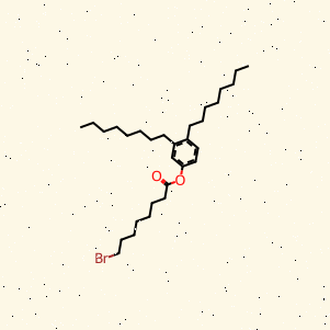 CCCCCCCCc1ccc(OC(=O)CCCCCCCBr)cc1CCCCCCCC